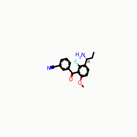 CC[C@@H](N)c1ccc(OC)c(C(=O)c2cccc(C#N)c2)c1F